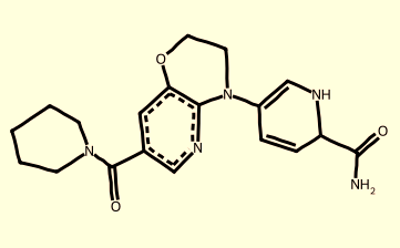 NC(=O)C1C=CC(N2CCOc3cc(C(=O)N4CCCCC4)cnc32)=CN1